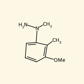 COc1cccc(N(C)N)c1C